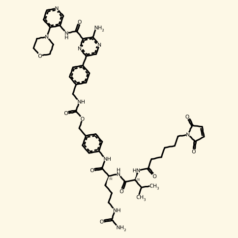 CC(C)[C@H](NC(=O)CCCCCN1C(=O)C=CC1=O)C(=O)N[C@@H](CCCNC(N)=O)C(=O)Nc1ccc(COC(=O)NCc2ccc(-c3cnc(N)c(C(=O)Nc4cnccc4N4CCOCC4)n3)cc2)cc1